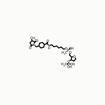 C=P(O)(O)OC1CCOC1COP(=C)(O)OCCCCCCNC(=O)C1CCC(CN2C(=O)CC(C)C2=O)CC1